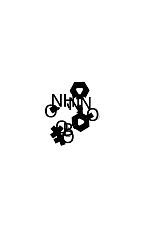 COc1ccc(B2OC(C)(C)C(C)(C)O2)cc1-c1nc2ccccc2n1C.NC=O